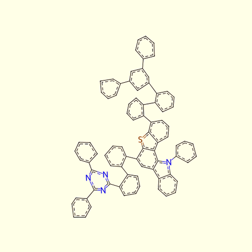 c1ccc(-c2cc(-c3ccccc3)cc(-c3ccccc3-c3ccccc3-c3cccc4c3sc3c(-c5ccccc5-c5ccccc5-c5nc(-c6ccccc6)nc(-c6ccccc6)n5)cc5c6ccccc6n(-c6ccccc6)c5c34)c2)cc1